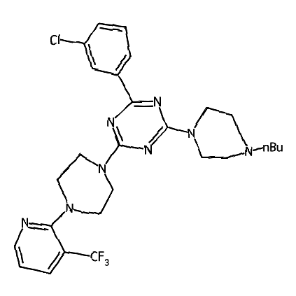 CCCCN1CCN(c2nc(-c3cccc(Cl)c3)nc(N3CCN(c4ncccc4C(F)(F)F)CC3)n2)CC1